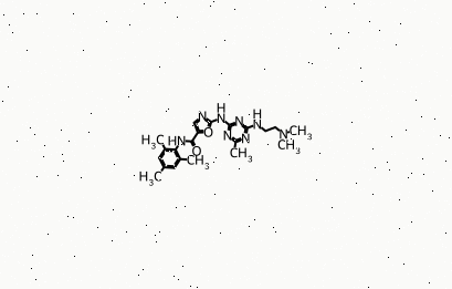 Cc1cc(C)c(NC(=O)c2cnc(Nc3nc(C)nc(NCCN(C)C)n3)o2)c(C)c1